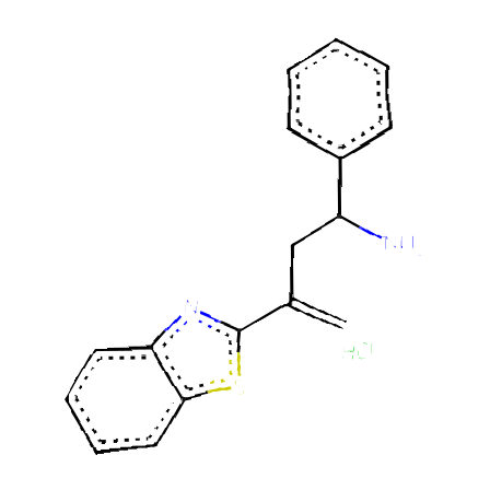 C=C(CC(N)c1ccccc1)c1nc2ccccc2s1.Cl